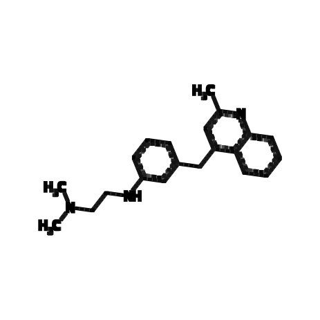 Cc1cc(Cc2cccc(NCCN(C)C)c2)c2ccccc2n1